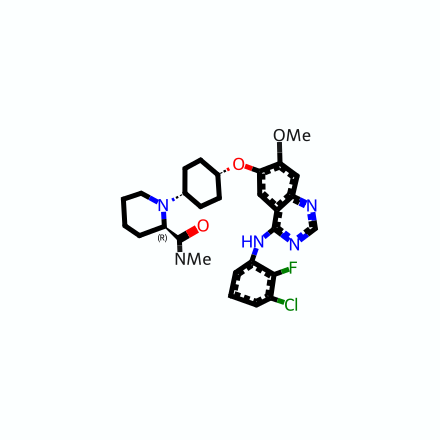 CNC(=O)[C@H]1CCCCN1[C@H]1CC[C@@H](Oc2cc3c(Nc4cccc(Cl)c4F)ncnc3cc2OC)CC1